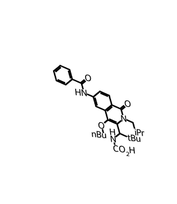 CCCCOc1c(C(NC(=O)O)C(C)(C)C)n(CC(C)C)c(=O)c2ccc(NC(=O)c3ccccc3)cc12